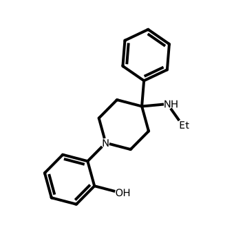 CCNC1(c2ccccc2)CCN(c2ccccc2O)CC1